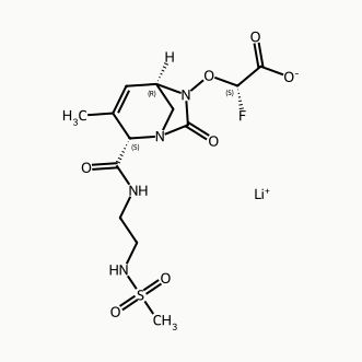 CC1=C[C@@H]2CN(C(=O)N2O[C@@H](F)C(=O)[O-])[C@@H]1C(=O)NCCNS(C)(=O)=O.[Li+]